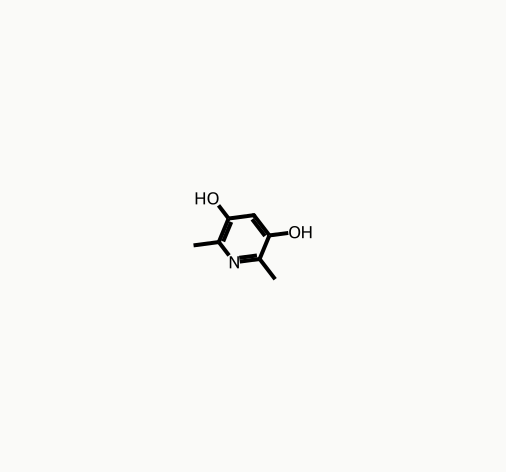 Cc1nc(C)c(O)cc1O